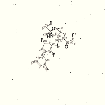 C[C@@H](F)C(=O)N1CC2(CC2)[C@H](NS(=O)(=O)C(F)F)[C@@H]1Cc1cc(F)cc(-c2cc(F)cc(F)c2)c1F